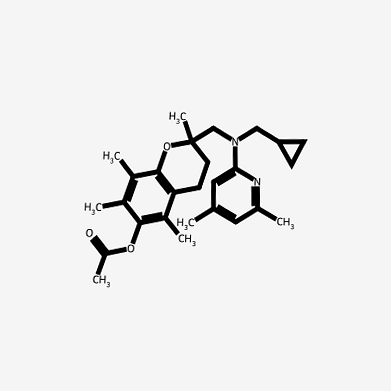 CC(=O)Oc1c(C)c(C)c2c(c1C)CCC(C)(CN(CC1CC1)c1cc(C)cc(C)n1)O2